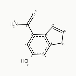 Cl.NC(=O)c1cccc2c1C=CC2